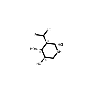 CCC(F)[C@H]1CNC[C@@H](O)[C@@H]1O.Cl